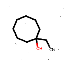 N#CCC1(O)CCCCCCC1